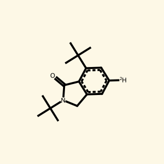 [2H]c1cc2c(c(C(C)(C)C)c1)C(=O)N(C(C)(C)C)C2